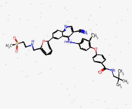 Cc1cc(Nc2c(C#N)cnc3ccc(-c4ccc(CNCCS(C)(=O)=O)o4)cc23)ccc1Oc1ccc(C(=O)NCC(C)(C)C)cc1